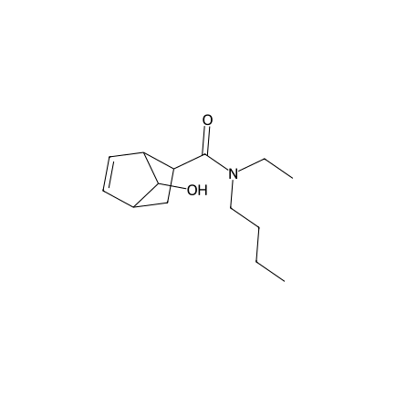 CCCCN(CC)C(=O)C1CC2C=CC1C2O